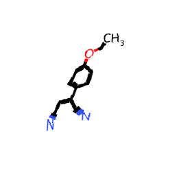 CCOc1ccc(C(C#N)=CC#N)cc1